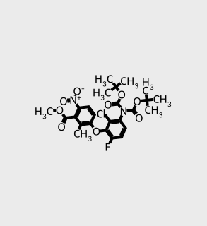 COC(=O)c1c([N+](=O)[O-])ccc(Oc2c(F)ccc(N(C(=O)OC(C)(C)C)C(=O)OC(C)(C)C)c2Cl)c1C